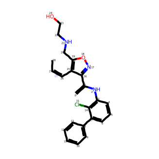 C=C(Nc1cccc(-c2ccccc2)c1Cl)c1noc(CNCCO)c1/C=C\C